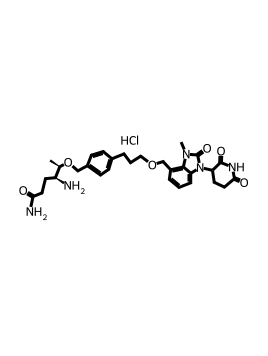 C[C@@H](OCc1ccc(CCCOCc2cccc3c2n(C)c(=O)n3C2CCC(=O)NC2=O)cc1)[C@@H](N)CCC(N)=O.Cl